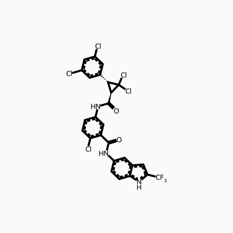 O=C(Nc1ccc2[nH]c(C(F)(F)F)cc2c1)c1cc(NC(=O)[C@H]2[C@H](c3cc(Cl)cc(Cl)c3)C2(Cl)Cl)ccc1Cl